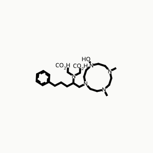 CN1CCN(C)CCN(CC(CCCc2ccccc2)N(CC(=O)O)CC(=O)O)CCN(O)CC1